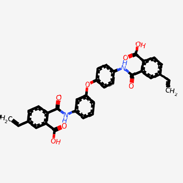 C=Cc1ccc(C(=O)Nc2cccc(Oc3ccc(NC(=O)c4cc(C=C)ccc4C(=O)O)cc3)c2)c(C(=O)O)c1